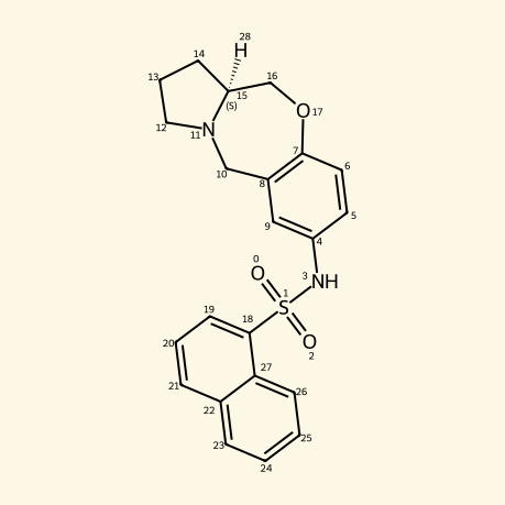 O=S(=O)(Nc1ccc2c(c1)CN1CCC[C@H]1CO2)c1cccc2ccccc12